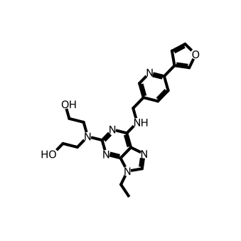 CCn1cnc2c(NCc3ccc(-c4ccoc4)nc3)nc(N(CCO)CCO)nc21